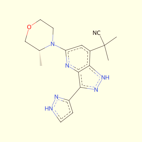 C[C@@H]1COCCN1c1cc(C(C)(C)C#N)c2[nH]nc(-c3cc[nH]n3)c2n1